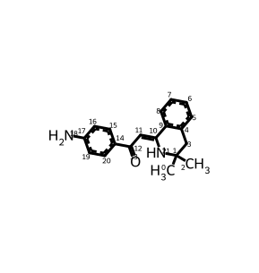 CC1(C)Cc2ccccc2C(=CC(=O)c2ccc(N)cc2)N1